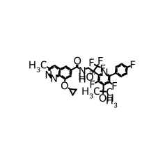 Cc1cc2cc(C(=O)NC[C@](O)(c3nc(-c4ccc(F)cc4)c(F)c(C(C)(C)O)c3F)C(F)(F)F)cc(OC3CC3)c2nn1